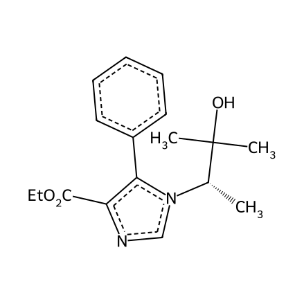 CCOC(=O)c1ncn([C@@H](C)C(C)(C)O)c1-c1ccccc1